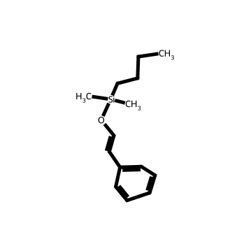 CCCC[Si](C)(C)OC=Cc1ccccc1